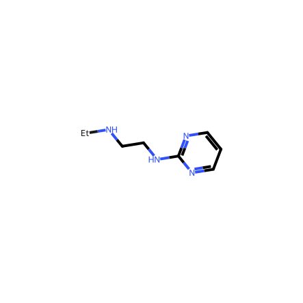 CCNCCNc1ncccn1